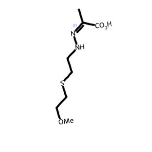 COCCSCCN/N=C(/C)C(=O)O